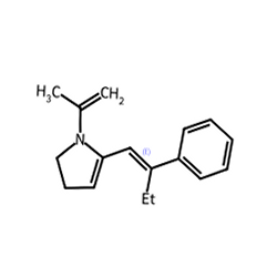 C=C(C)N1CCC=C1/C=C(\CC)c1ccccc1